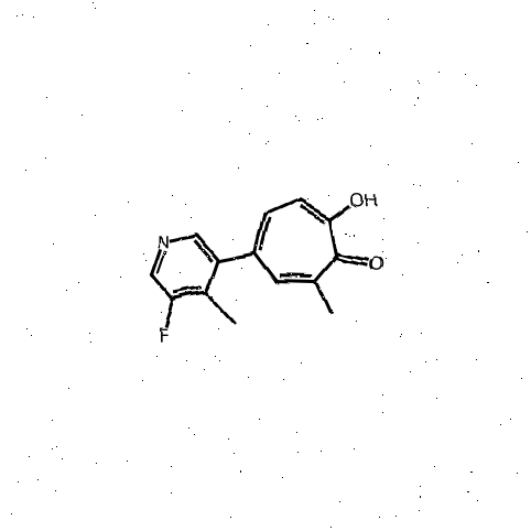 Cc1c(F)cncc1-c1ccc(O)c(=O)c(C)c1